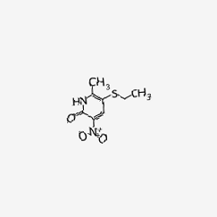 CCSc1cc([N+](=O)[O-])c(=O)[nH]c1C